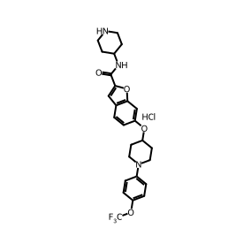 Cl.O=C(NC1CCNCC1)c1cc2ccc(OC3CCN(c4ccc(OC(F)(F)F)cc4)CC3)cc2o1